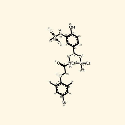 CC[Si](CC)(CC)O[C@H](CNC(=O)COc1c(C)cc(Br)cc1C)c1ccc(O)c(NS(C)(=O)=O)c1